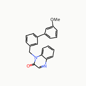 COc1cccc(-c2cccc(Cn3c(=O)cnc4ccccc43)c2)c1